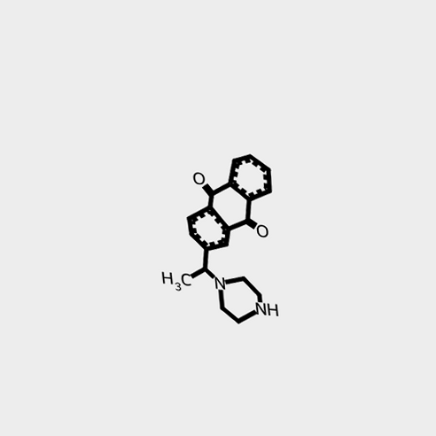 CC(c1ccc2c(c1)C(=O)c1ccccc1C2=O)N1CCNCC1